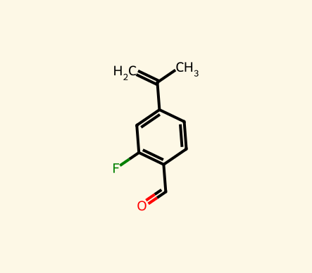 C=C(C)c1ccc(C=O)c(F)c1